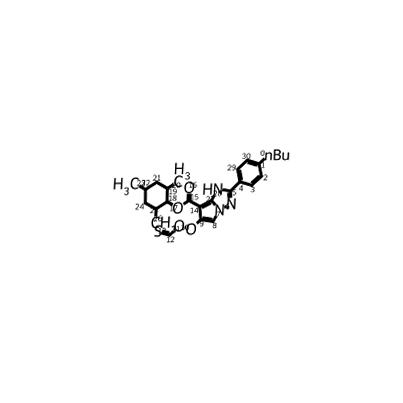 CCCCc1ccc(-c2nn3cc(OOC=S)c(C(=O)OC4C(C)CC(C)CC4C)c3[nH]2)cc1